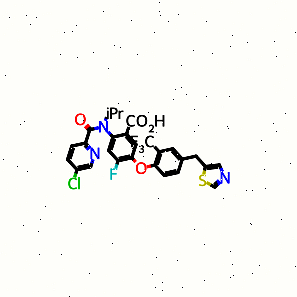 CC(C)N(C(=O)c1ccc(Cl)cn1)c1cc(F)c(Oc2ccc(Cc3cncs3)cc2C(F)(F)F)cc1C(=O)O